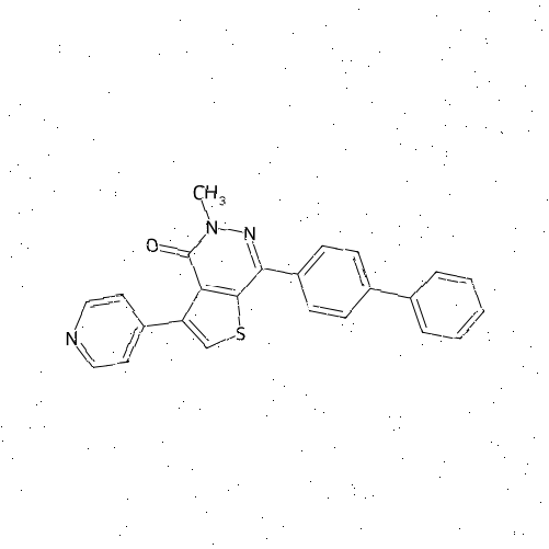 Cn1nc(-c2ccc(-c3ccccc3)cc2)c2scc(-c3ccncc3)c2c1=O